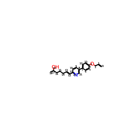 C=CCOc1ccc(-c2ccc(C=CCCCC(C)O)nc2)cc1